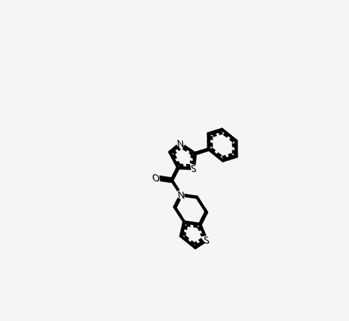 O=C(c1cnc(-c2ccccc2)s1)N1CCc2sccc2C1